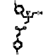 O=C(/C=C/c1ccc(F)cc1)OCC[N@@+]([O-])(CCO)Cc1ccc(I)cc1